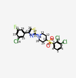 O=S(=O)(c1cccc(Cl)c1Cl)C1CCN(c2nc(-c3cc(F)cc(Cl)c3)cs2)CC1